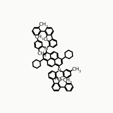 Cc1ccc(C)c(N(c2cc(C3CCCCC3)c3ccc4c(N(c5cc(C)ccc5C)c5cccc6c5oc5c(-c7ccccc7C)cccc56)cc(C5CCCCC5)c5ccc2c3c54)c2cccc3c2oc2c(-c4ccccc4C)cccc23)c1